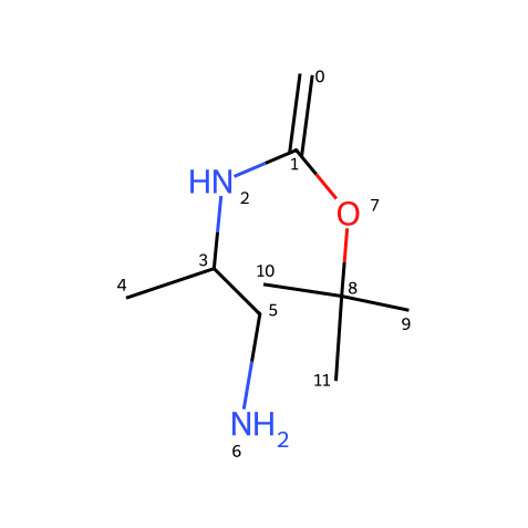 C=C(NC(C)CN)OC(C)(C)C